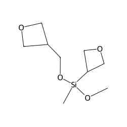 CO[Si](C)(OCC1COC1)C1COC1